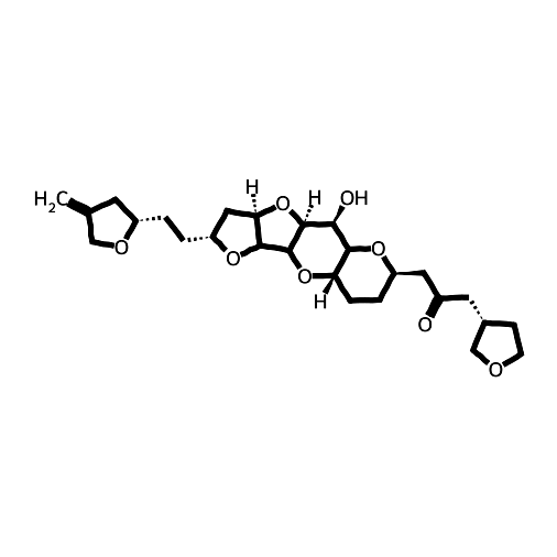 C=C1CO[C@@H](CC[C@@H]2C[C@H]3O[C@@H]4C(O[C@H]5CC[C@H](CC(=O)C[C@@H]6CCOC6)OC5[C@@H]4O)C3O2)C1